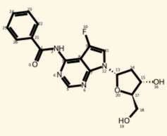 O=C(Nc1ncnc2c1c(F)cn2[C@@H]1C[C@H](O)[C@@H](CO)O1)c1ccccc1